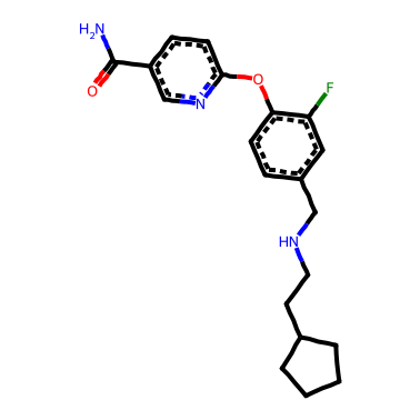 NC(=O)c1ccc(Oc2ccc(CNCCC3CCCC3)cc2F)nc1